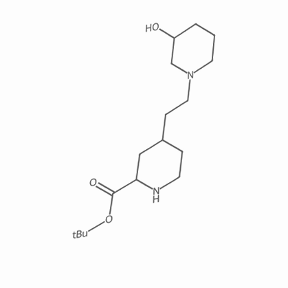 CC(C)(C)OC(=O)C1CC(CCN2CCCC(O)C2)CCN1